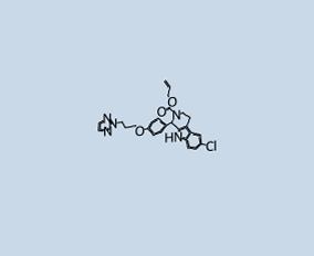 C=CCOC(=O)N1CCc2c([nH]c3ccc(Cl)cc23)C1c1ccc(OCCCn2nccn2)cc1